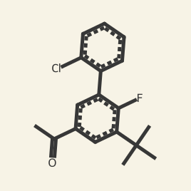 CC(=O)c1cc(-c2ccccc2Cl)c(F)c(C(C)(C)C)c1